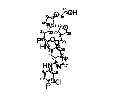 O=C(Nc1cc2c(Nc3ccc(F)c(Cl)c3)ncnc2cc1OC[C@H]1CCOC1)/C(F)=C\CN1CC[C@@H](OCCO)C1